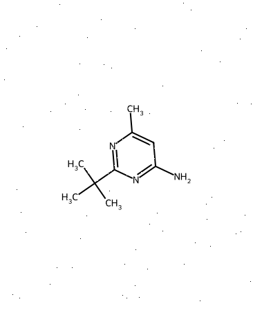 Cc1cc(N)nc(C(C)(C)C)n1